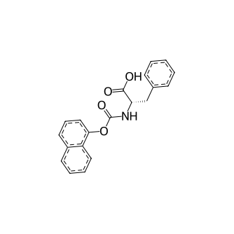 O=C(N[C@@H](Cc1ccccc1)C(=O)O)Oc1cccc2ccccc12